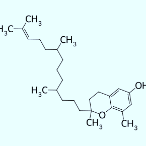 CC(C)=CCCC(C)CCCC(C)CCCC1(C)CCc2cc(O)cc(C)c2O1